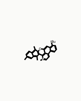 Cc1ccc2c(C)c3c(c(C)c2c1)-c1c2c(cc4c(C(C)(C)C)cccc4c2cc[n+]1C)O3